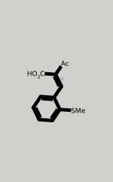 CSc1ccccc1/C=C(/C(C)=O)C(=O)O